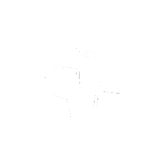 C#N.Cc1ccccc1S(C)(=O)=O